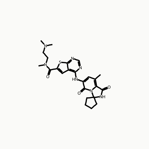 Cc1cc(Nc2ncnc3sc(C(=O)N(C)CCN(C)C)cc23)c(=O)n2c1C(=O)NC21CCCC1